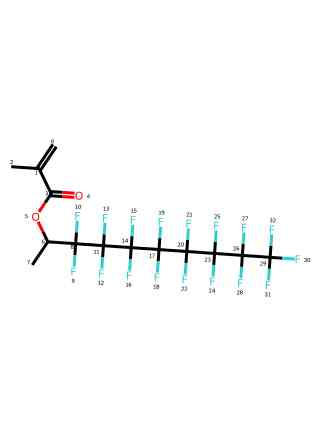 C=C(C)C(=O)OC(C)C(F)(F)C(F)(F)C(F)(F)C(F)(F)C(F)(F)C(F)(F)C(F)(F)C(F)(F)F